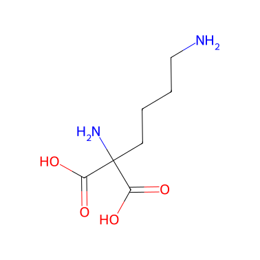 NCCCCC(N)(C(=O)O)C(=O)O